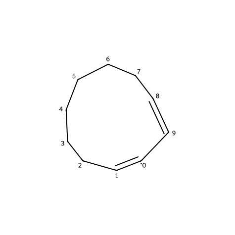 [C]1=CCCCCCCC=C1